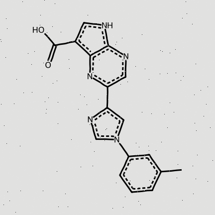 Cc1cccc(-n2cnc(-c3cnc4[nH]cc(C(=O)O)c4n3)c2)c1